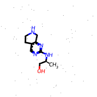 C[C@@H](CO)Nc1ncc2c(n1)CNCC2